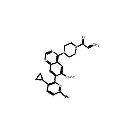 C=CC(=O)N1CCN(c2ncnc3cc(-c4nc(N)ccc4C4CC4)c(OC)cc23)CC1